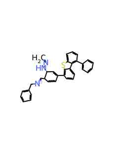 C=NNC1C=C(c2cccc3c2sc2cccc(-c4ccccc4)c23)C=CC1/C=N/Cc1ccccc1